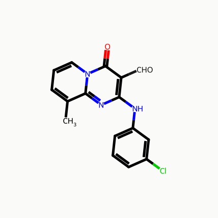 Cc1cccn2c(=O)c(C=O)c(Nc3cccc(Cl)c3)nc12